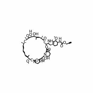 C#CCOC(=O)N[C@H]1CC[C@@H](C[C@@H](N)[C@@H]2CC(=O)[C@H](C)/C=C(\C)[C@@H](O)[C@@H](O)C(=O)[C@H](C)C[C@H](C)/C=C/C=C/C=C(\C)[C@@H](OC)C[C@@H]3CC[C@@H](C)[C@@](O)(O3)C(=O)C(O)N3CCCC[C@H]3C(=O)O2)C[C@H]1OC